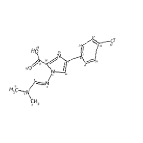 CN(C)C=Nn1cc(-c2ccc(Cl)cc2)nc1C(=O)O